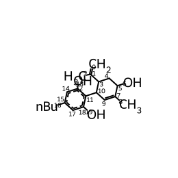 C=C(C)C1CC(O)C(C)=CC1c1c(O)cc(CCCC)cc1O